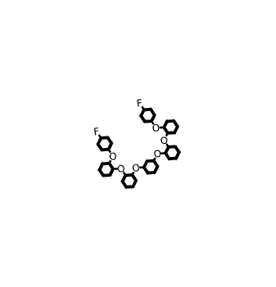 Fc1ccc(Oc2ccccc2Oc2ccccc2Oc2cccc(Oc3ccccc3Oc3ccccc3Oc3ccc(F)cc3)c2)cc1